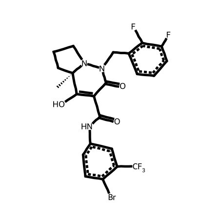 C[C@]12CCCN1N(Cc1cccc(F)c1F)C(=O)C(C(=O)Nc1ccc(Br)c(C(F)(F)F)c1)=C2O